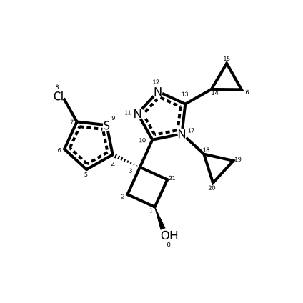 O[C@H]1C[C@@](c2ccc(Cl)s2)(c2nnc(C3CC3)n2C2CC2)C1